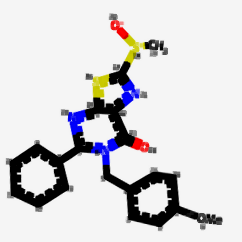 COc1ccc(Cn2c(-c3ccccc3)nc3sc([S+](C)[O-])nc3c2=O)cc1